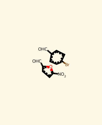 O=Cc1ccc(Br)cc1.O=Cc1ccc([N+](=O)[O-])o1